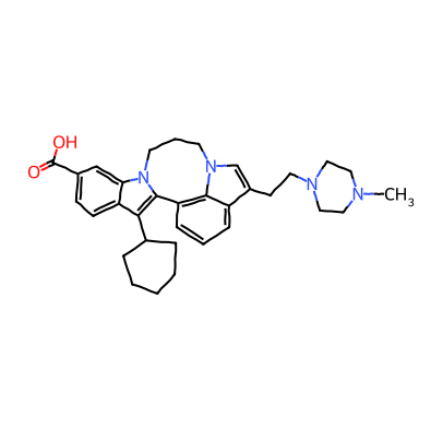 CN1CCN(CCc2cn3c4c(cccc24)-c2c(C4CCCCC4)c4ccc(C(=O)O)cc4n2CCC3)CC1